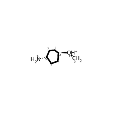 [CH2-][OH+][C@H]1CC[C@H](N)CC1